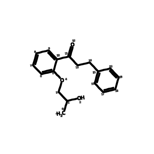 [CH2]C(O)COc1ccccc1C(=O)CCc1ccccc1